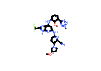 COc1c(Nc2cc(Nc3ccc(N4CC[C@H](OC)C4)c(C#N)n3)nc3[nH]c(C(F)F)nc23)cccc1-c1nnn(C)n1